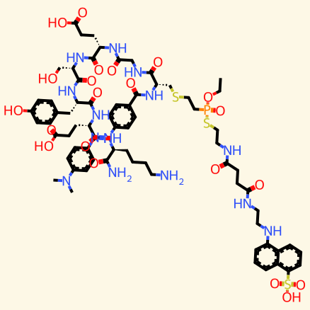 CCOP(=O)(CCSC[C@H](NC(=O)c1ccc(/N=N/c2ccc(N(C)C)cc2)cc1)C(=O)NCC(=O)N[C@@H](CCC(=O)O)C(=O)N[C@@H](CO)C(=O)N[C@@H](Cc1ccc(O)cc1)C(=O)N[C@@H](CCC(=O)O)C(=O)N[C@@H](CCCCN)C(N)=O)SCCNC(=O)CCC(=O)NCCNc1cccc2c(S(=O)(=O)O)cccc12